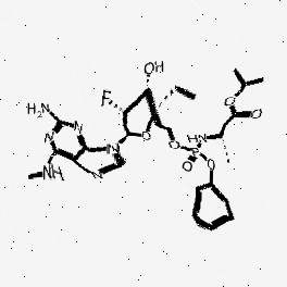 CC[C@]1(COP(=O)(N[C@@H](C)C(=O)OC(C)C)Oc2ccccc2)O[C@@H](n2cnc3c(NC)nc(N)nc32)[C@H](F)[C@@H]1O